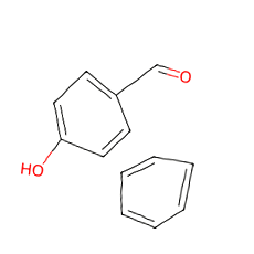 O=Cc1ccc(O)cc1.c1ccccc1